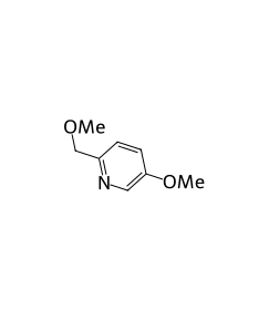 COCc1ccc(OC)cn1